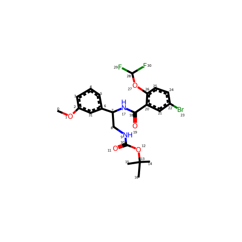 COc1cccc(C(CNC(=O)OC(C)(C)C)NC(=O)c2cc(Br)ccc2OC(F)F)c1